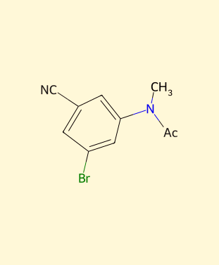 CC(=O)N(C)c1cc(Br)cc(C#N)c1